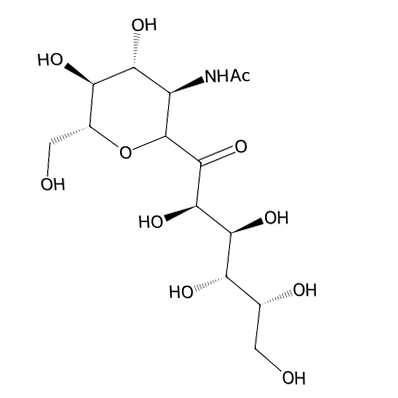 CC(=O)N[C@H]1C(C(=O)[C@H](O)[C@@H](O)[C@@H](O)[C@H](O)CO)O[C@H](CO)[C@@H](O)[C@@H]1O